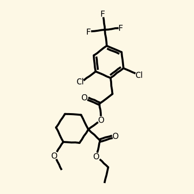 CCOC(=O)C1(OC(=O)Cc2c(Cl)cc(C(F)(F)F)cc2Cl)CCCC(OC)C1